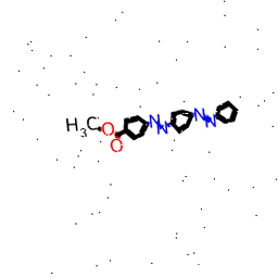 CCOC(=O)c1ccc(N=Nc2ccc(N=Nc3ccccc3)cc2)cc1